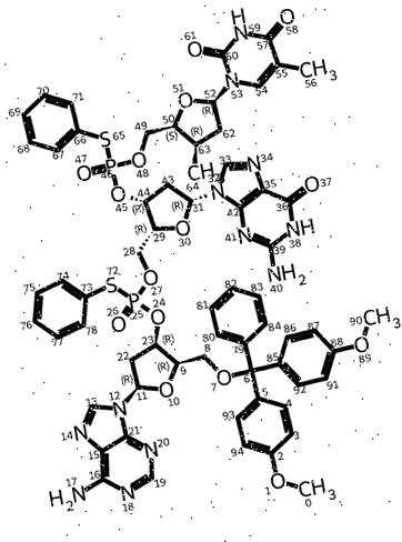 COc1ccc(C(OC[C@H]2O[C@@H](n3cnc4c(N)ncnc43)C[C@H]2OP(=O)(OC[C@H]2O[C@@H](n3cnc4c(=O)[nH]c(N)nc43)C[C@H]2OP(=O)(OC[C@H]2O[C@@H](n3cc(C)c(=O)[nH]c3=O)C[C@H]2C)Sc2ccccc2)Sc2ccccc2)(c2ccccc2)c2ccc(OC)cc2)cc1